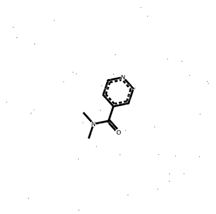 CN(C)C(=O)c1ccncc1